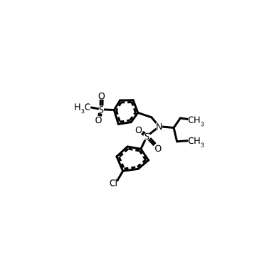 CCC(CC)N(Cc1ccc(S(C)(=O)=O)cc1)S(=O)(=O)c1ccc(Cl)cc1